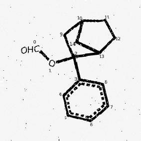 O=COC1(c2ccccc2)CC2CCC1C2